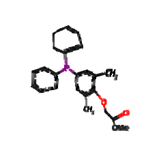 COC(=O)COc1c(C)cc(P(C2=CC=CCC2)c2ccccc2)cc1C